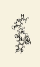 CC(C)Nc1cc(-c2cc3n(c2)CC2(COC2)CN(Cc2cc(F)c(F)cc2CO)C3=O)c(Cl)cn1